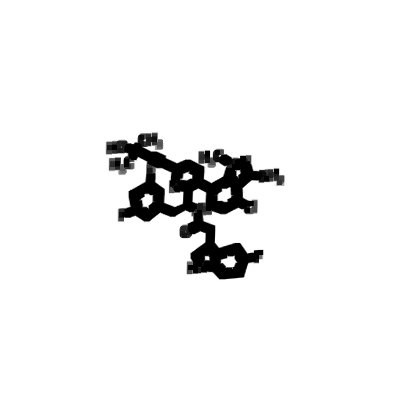 Cn1nc(N)c2c(Cl)ccc(-c3ccc(C#CC(C)(C)O)nc3[C@H](Cc3cc(F)cc(F)c3)NC(=O)Cc3c[nH]c4ccc(F)cc34)c21